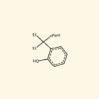 CCCCCC(CC)(CC)c1ccccc1O